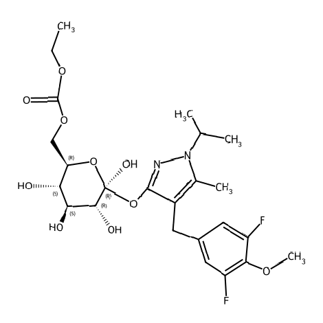 CCOC(=O)OC[C@H]1O[C@@](O)(Oc2nn(C(C)C)c(C)c2Cc2cc(F)c(OC)c(F)c2)[C@H](O)[C@@H](O)[C@@H]1O